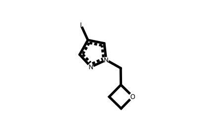 Ic1cnn(CC2CCO2)c1